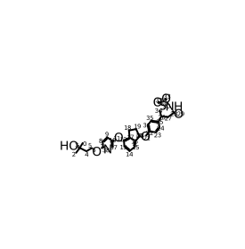 CC(C)(O)CCOc1ccc(Oc2cccc3c2CC[C@H]3Oc2ccc(C3CC(=O)NS(=O)(=O)C3)cc2)cn1